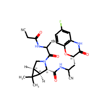 CC(C)(C)C(NC(=O)CC#N)C(=O)N1C[C@H]2[C@@H]([C@H]1C(=O)NC(C#N)C[C@@H]1Oc3ccc(F)cc3NC1=O)C2(C)C